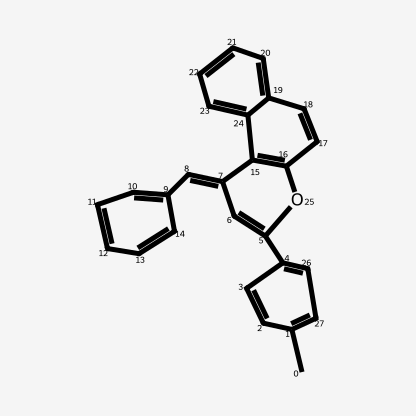 Cc1ccc(C2=C/C(=C\c3ccccc3)c3c(ccc4ccccc34)O2)cc1